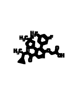 C[C@H](NC(=O)c1cnc(OCC(=O)O)c(-c2cc(F)cc(F)c2)c1N1CC[C@](C)(N)C1)C1CC1